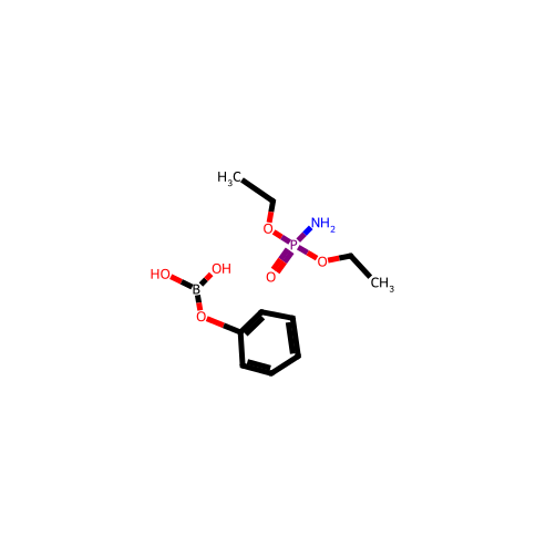 CCOP(N)(=O)OCC.OB(O)Oc1ccccc1